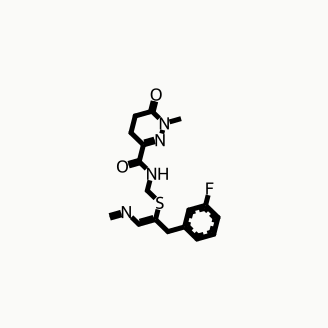 C=N/C=C(/Cc1cccc(F)c1)SCNC(=O)C1=NN(C)C(=O)CC1